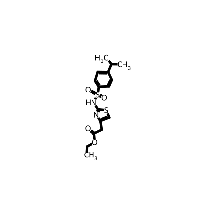 CCOC(=O)Cc1csc(NS(=O)(=O)c2ccc(C(C)C)cc2)n1